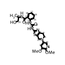 COc1cc(N2CCc3nc(NC(=O)Nc4ccccc4C(=O)NC(C)CO)sc3C2)cnc1OC